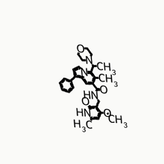 COc1cc(C)[nH]c(=O)c1CNC(=O)c1cc2c(-c3ccccc3)ccn2c(C(C)N2CCOCC2)c1C